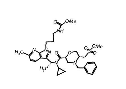 COC(=O)NCCCn1nc([C@@H](C)N(C(=O)[C@H]2CN(Cc3ccccc3)[C@@H](CS(=O)(=O)OC)CO2)C2CC2)c2ccc(C)nc21